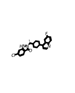 C[C@H](C1CCC(c2ccnc3ccc(F)cc23)CC1)n1[nH]c2cc(Cl)ccc2c1=O